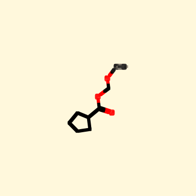 O=[C]OCOC(=O)C1CCCC1